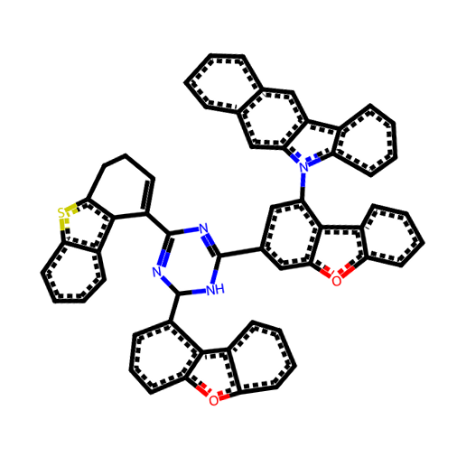 C1=C(C2=NC(c3cccc4oc5ccccc5c34)NC(c3cc(-n4c5ccccc5c5cc6ccccc6cc54)c4c(c3)oc3ccccc34)=N2)c2c(sc3ccccc23)CC1